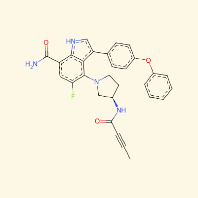 CC#CC(=O)N[C@@H]1CCN(c2c(F)cc(C(N)=O)c3[nH]cc(-c4ccc(Oc5ccccc5)cc4)c23)C1